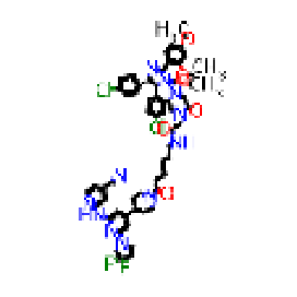 COc1ccc(C2=N[C@H](c3ccc(Cl)cc3)[C@H](c3ccc(Cl)cc3)N2C(=O)N2CCN(CC(=O)NCCCCCC(=O)N3CCC(c4cc(Nc5cc(C#N)ccn5)nc(N5CCC(F)(F)C5)c4)CC3)C(=O)C2)c(OC(C)C)c1